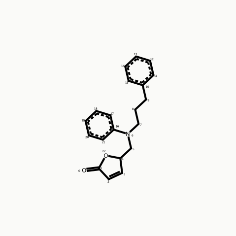 O=C1C=CC(CN(CCCc2ccccc2)c2ccccc2)O1